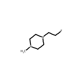 CN1CCN(CCF)CC1